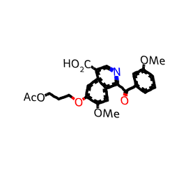 COc1cccc(C(=O)c2ncc(C(=O)O)c3cc(OCCCOC(C)=O)c(OC)cc23)c1